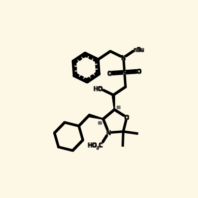 CCCCN(Cc1ccccc1)S(=O)(=O)CC(O)[C@H]1OC(C)(C)N(C(=O)O)[C@H]1CC1CCCCC1